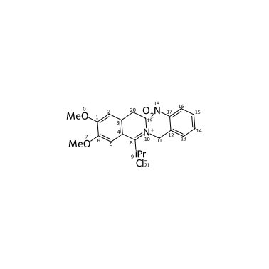 COc1cc2c(cc1OC)C(C(C)C)=[N+](Cc1ccccc1[N+](=O)[O-])CC2.[Cl-]